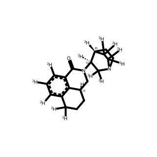 [2H]c1c([2H])c2c3c(c1[2H])C([2H])([2H])CC[C@@H]3CN([C@]1([2H])C([2H])([2H])N3CC[C@]1([2H])C([2H])([2H])C3([2H])[2H])C2=O